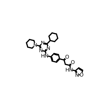 O=C(CC(=O)c1ccc(Nc2nc(C3CCCCC3)nc(N3CCCCC3)n2)cc1)Nc1ccon1